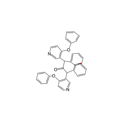 O=C(C(c1ccccc1)c1cnccc1Oc1ccccc1)C(c1ccccc1)c1cnccc1Oc1ccccc1